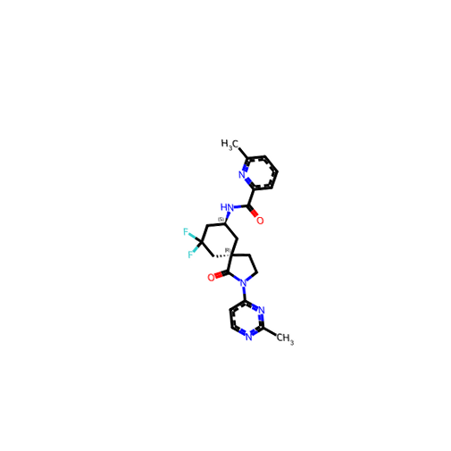 Cc1cccc(C(=O)N[C@@H]2CC(F)(F)C[C@@]3(CCN(c4ccnc(C)n4)C3=O)C2)n1